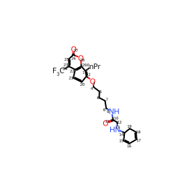 CCCc1c(OCCCCCNC(=O)CNC2C=CC=CC2)ccc2c(C(F)(F)F)cc(=O)oc12